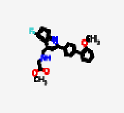 COC(=O)CNCc1cc(-c2ccc(-c3ccccc3OC)cc2)nc2ccc(F)cc12